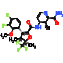 [2H]c1c(NC(=O)[C@H]2O[C@@](C)(C(F)(F)F)[C@@H](C)[C@@H]2c2ccc(F)c(F)c2OC)ccnc1C(N)=O